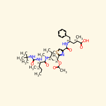 CC[C@H](C)[C@H](NC(=O)NC(C)(C)C)C(=O)N(C)[C@H](C[C@@H](OC(C)=O)c1nc(C(=O)N[C@@H](Cc2ccccc2)C[C@H](C)C(=O)O)cs1)C(C)C